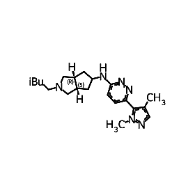 CCC(C)CN1C[C@H]2CC(Nc3ccc(-c4c(C)cnn4C)nn3)C[C@H]2C1